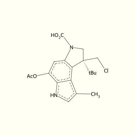 CC(=O)Oc1cc2c(c3c(C)c[nH]c13)[C@@](CCl)(C(C)(C)C)CN2C(=O)O